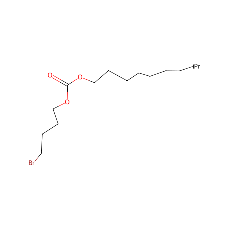 CC(C)CCCCCCCOC(=O)OCCCCBr